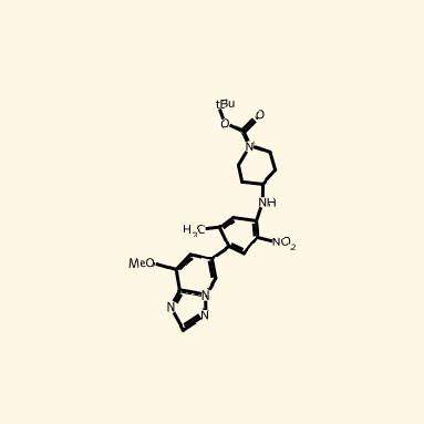 COc1cc(-c2cc([N+](=O)[O-])c(NC3CCN(C(=O)OC(C)(C)C)CC3)cc2C)cn2ncnc12